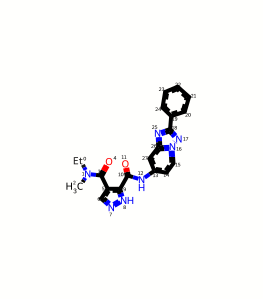 CCN(C)C(=O)c1cn[nH]c1C(=O)Nc1ccn2nc(-c3ccccc3)nc2c1